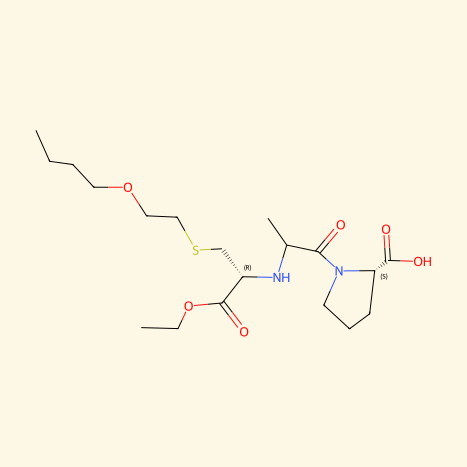 CCCCOCCSC[C@H](NC(C)C(=O)N1CCC[C@H]1C(=O)O)C(=O)OCC